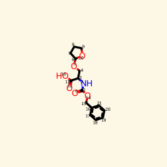 O=C(NC(COC1CCCO1)C(=O)O)OCc1ccccc1